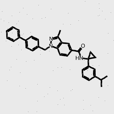 Cc1nn(Cc2ccc(-c3ccccc3)cc2)c2ccc(C(=O)NC3(c4cccc(C(C)C)c4)CC3)cc12